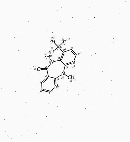 [2H]N1C(=O)c2cccnc2N(C)c2nccc(C([2H])([2H])[2H])c21